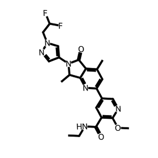 CCNC(=O)c1cc(-c2cc(C)c3c(n2)C(C)N(c2cnn(CC(F)F)c2)C3=O)cnc1OC